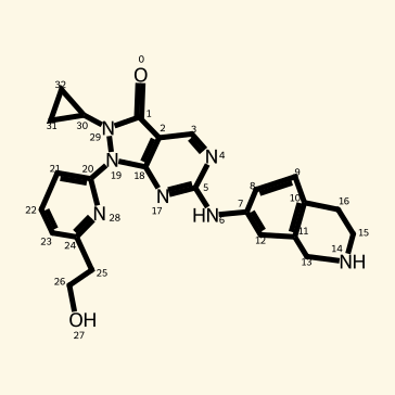 O=c1c2cnc(Nc3ccc4c(c3)CNCC4)nc2n(-c2cccc(CCO)n2)n1C1CC1